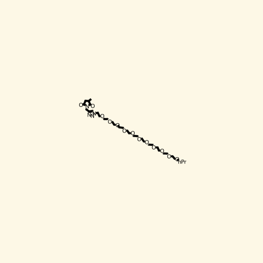 CCCOCCOCCOCCOCCOCCOCCOCCOCCOCCOCCOCCn1cc(CN2C(=O)CC(C)C2=O)nn1